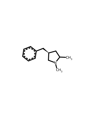 CC1C[C@H](Cc2ccccc2)CN1C